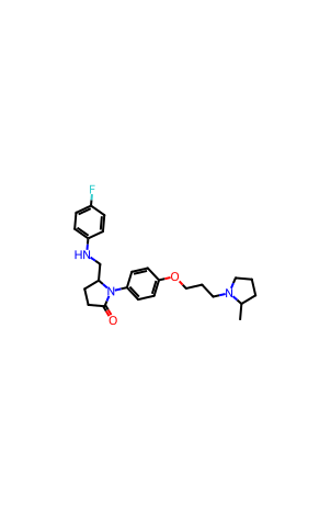 CC1CCCN1CCCOc1ccc(N2C(=O)CCC2CNc2ccc(F)cc2)cc1